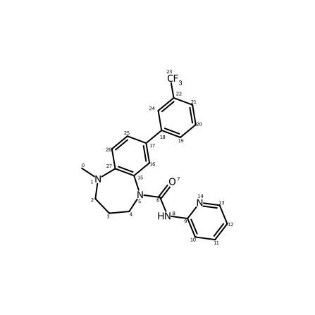 CN1CCCN(C(=O)Nc2ccccn2)c2cc(-c3cccc(C(F)(F)F)c3)ccc21